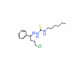 CCCCCCNC(=S)NN=C(CCCCl)c1ccccc1